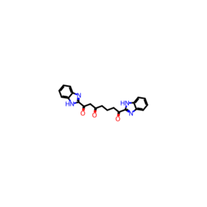 O=C(CCCC(=O)c1nc2ccccc2[nH]1)CC(=O)c1nc2ccccc2[nH]1